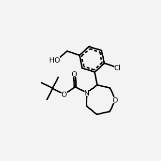 CC(C)(C)OC(=O)N1CCCOCC1c1cc(CO)ccc1Cl